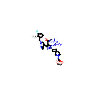 CC(C)(C)OC(=O)N1CC[C@]2(C1)C[C@H](n1nc(-c3cnn(Cc4cccc(F)c4C(F)(F)F)c3)c(C(N)=O)c1N)C2